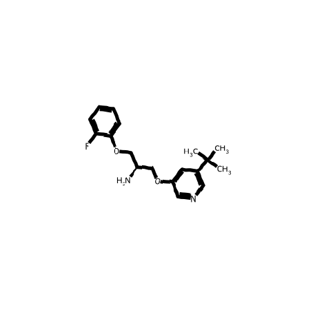 CC(C)(C)c1cncc(OC[C@@H](N)COc2ccccc2F)c1